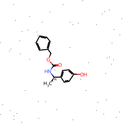 C[C@@H](NC(=O)OCc1ccccc1)c1ccc(O)cc1